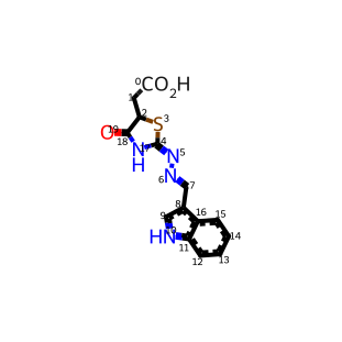 O=C(O)CC1S/C(=N/N=C/c2c[nH]c3ccccc23)NC1=O